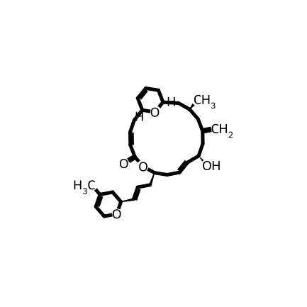 C=C1C[C@H](C)C[C@@H]2CC=C[C@@H](C/C=C\C(=O)O[C@H](C/C=C/[C@@H]3CC(C)=CCO3)C/C=C/[C@@H](O)C1)O2